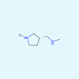 [CH2-][NH+]1CC[C@@H](CNC)C1